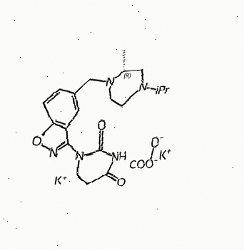 CC(C)N1CCN(Cc2ccc3onc(N4CCC(=O)NC4=O)c3c2)[C@H](C)C1.O=C([O-])[O-].[K+].[K+]